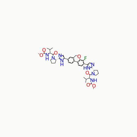 COC(=O)N[C@H](C(=O)N1CCC[C@H]1c1ncc(-c2ccc3c(c2)COc2c-3ccc(-c3cnc([C@@H]4CCCN4C(=O)[C@@H](NC(=O)OC)C(C)C)[nH]3)c2F)[nH]1)C(C)C